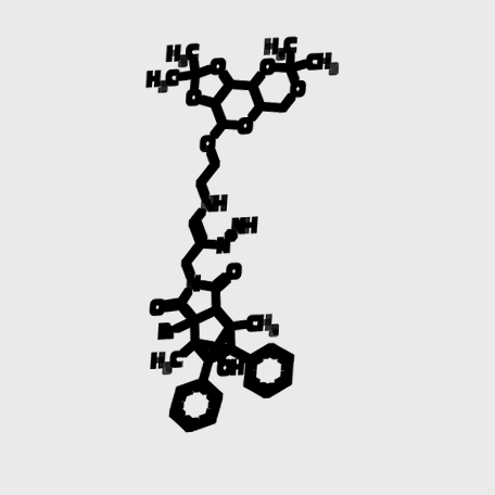 CC1(C)OCC2OC(OCCN/C=C(/CN3C(=O)C4C5(C)C(c6ccccc6)=C(c6ccccc6)C(C)(C5O)C4(Br)C3=O)N=N)C3OC(C)(C)OC3C2O1